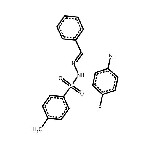 Cc1ccc(S(=O)(=O)NN=Cc2ccccc2)cc1.Fc1cc[c]([Na])cc1